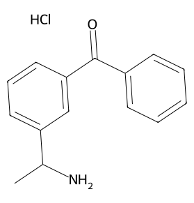 CC(N)c1cccc(C(=O)c2ccccc2)c1.Cl